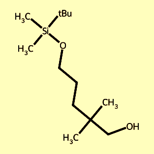 CC(C)(CO)CCCO[Si](C)(C)C(C)(C)C